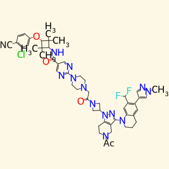 CC(=O)N1CCc2c(c(N3CCCc4cc(-c5cnn(C)c5)c(C(F)F)cc43)nn2C2CN(C(=O)CN3CCN(c4ncc(C(=O)NC5C(C)(C)C(Oc6ccc(C#N)c(Cl)c6)C5(C)C)cn4)CC3)C2)C1